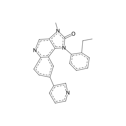 CCc1ccccc1-n1c(=O)n(C)c2cnc3ccc(-c4cccnc4)cc3c21